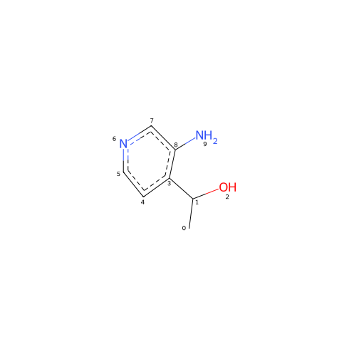 CC(O)c1ccncc1N